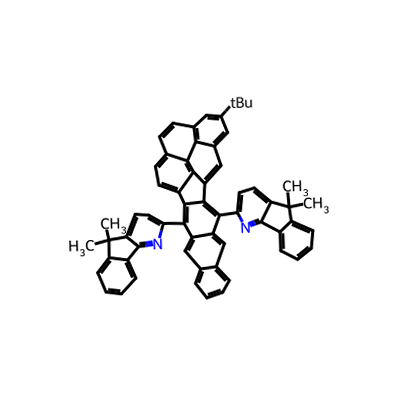 CC(C)(C)c1cc2ccc3ccc4c5c(cc(c1)c2c35)-c1c-4c(-c2ccc3c(n2)-c2ccccc2C3(C)C)c2cc3ccccc3cc2c1-c1ccc2c(n1)-c1ccccc1C2(C)C